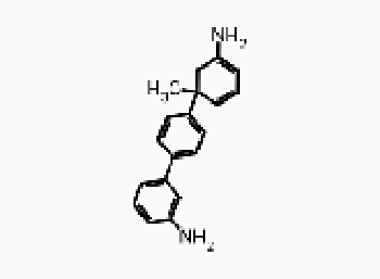 CC1(c2ccc(-c3cccc(N)c3)cc2)C=CC=C(N)C1